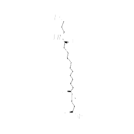 CCCCNC(=O)CCCCCCCCCCC(=O)NCCC(=O)O